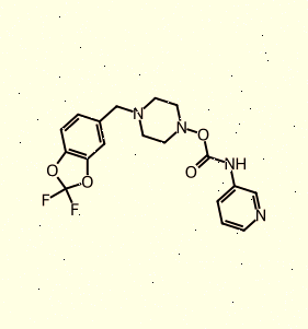 O=C(Nc1cccnc1)ON1CCN(Cc2ccc3c(c2)OC(F)(F)O3)CC1